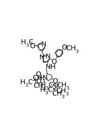 COc1ccc(Oc2nc(-c3cncc(OC)c3)ncc2NCC2CC(O[Si](C)(C)C(C)(C)C)CN2C(=O)OC(C)(C)C)cc1